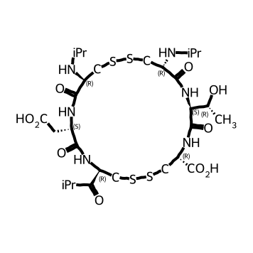 CC(C)N[C@H]1CSSC[C@H](NC(C)C)C(=O)N[C@@H]([C@@H](C)O)C(=O)N[C@H](C(=O)O)CSSC[C@@H](C(=O)C(C)C)NC(=O)[C@H](CC(=O)O)NC1=O